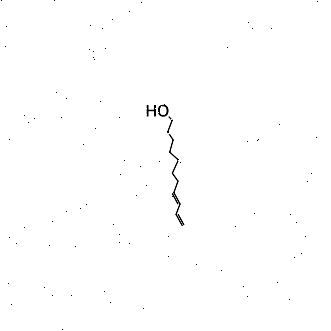 C=CC=CCCCCCCCO